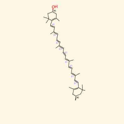 CC1=C(/C=C/C(C)=C/C=C/C(C)=C/C=C/C=C(C)/C=C/C=C(C)/C=C/C2=C(C)C[C@H](O)CC2(C)C)C(C)(C)C[C@@H](C)C1